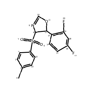 Cc1ccc(S(=O)(=O)C2N=COC2c2ccc(F)cc2F)cc1